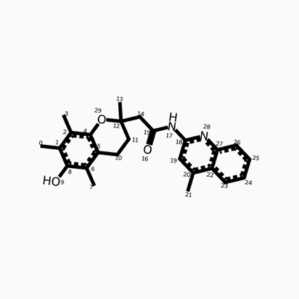 Cc1c(C)c2c(c(C)c1O)CCC(C)(CC(=O)Nc1cc(C)c3ccccc3n1)O2